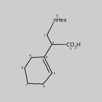 CCCCCCCC(C(=O)O)C1=CCCCC1